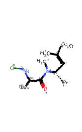 CCOC(=O)/C(C)=C/[C@H](C(C)C)N(C)C(=O)C(NCl)C(C)(C)C